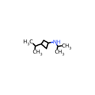 CC(C)NC1CC(C(C)C)C1